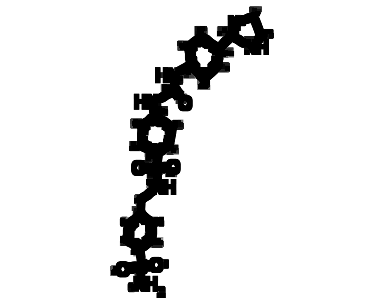 NS(=O)(=O)c1ccc(CNS(=O)(=O)c2ccc(NC(=O)Nc3ccc(C4=NCCN4)cc3)cc2)cc1